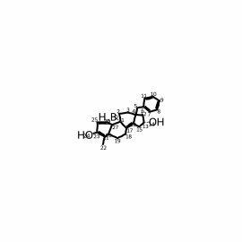 B[C@]12CCC3(Cc4ccccc4)C[C@H](O)CC3=C1CCC1C(C)=C(O)C=CC12